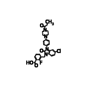 CCC(=O)N1CCN(c2ccc(-n3c(=O)n(Cc4cccc(C(=O)O)c4F)c4ccc(Cl)cc43)cc2)CC1